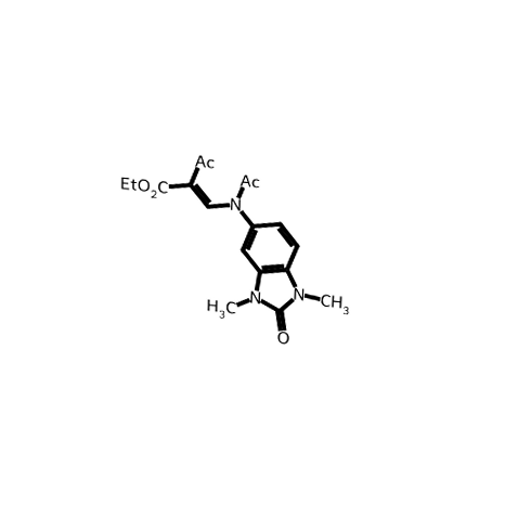 CCOC(=O)/C(=C/N(C(C)=O)c1ccc2c(c1)n(C)c(=O)n2C)C(C)=O